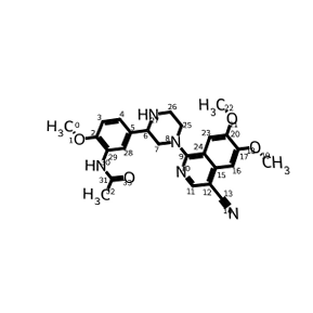 COc1ccc(C2CN(c3ncc(C#N)c4cc(OC)c(OC)cc34)CCN2)cc1NC(C)=O